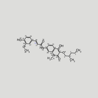 CCCC(C)COc1c(O)c2ccc(NC(=O)/C=C/c3ccc(O)c(OC)c3)cc2n(C)c1=O